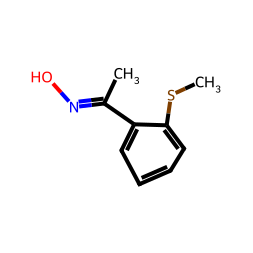 CSc1ccccc1C(C)=NO